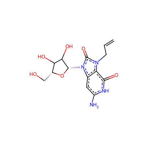 C=CCn1c(=O)n([C@@H]2O[C@H](CO)C(O)C2O)c2cc(N)[nH]c(=O)c21